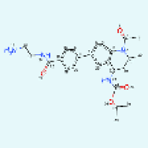 CC(=O)N1c2ccc(-c3ccc(C(=O)NCCN)cc3)cc2C(NC(=O)OC(C)C)CC1C